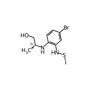 C[C@@H](CO)Nc1ccc(Br)cc1NSI